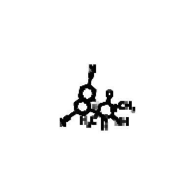 CN1C(=N)N[C@](C)(c2cccc(C#N)c2)[C@H](c2cccc(C#N)c2)C1=O